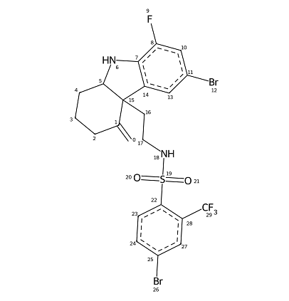 C=C1CCCC2Nc3c(F)cc(Br)cc3C12CCNS(=O)(=O)c1ccc(Br)cc1C(F)(F)F